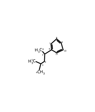 C[C](CC(C)C)c1ccccc1